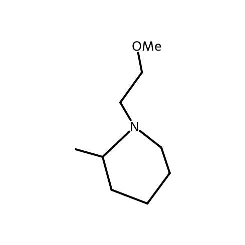 COCCN1CCCCC1C